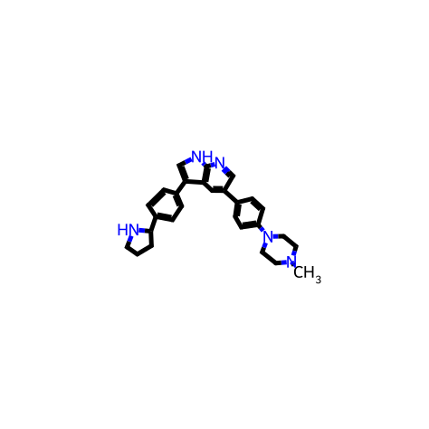 CN1CCN(c2ccc(-c3cnc4[nH]cc(-c5ccc(C6CCCN6)cc5)c4c3)cc2)CC1